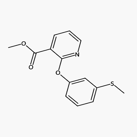 COC(=O)c1cccnc1Oc1cccc(SC)c1